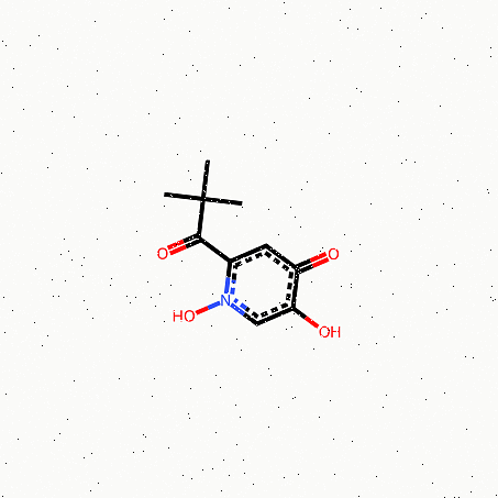 CC(C)(C)C(=O)c1cc(=O)c(O)cn1O